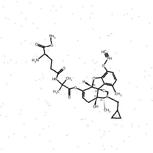 C#[PH]Oc1ccc(C)c2c1O[C@H]1C(OC(=O)C(C)(C)NC(=O)CCC(N)C(=O)OP)=CC[C@@]3(O)[C@@H](C)N(CC4CC4)CC[C@]213